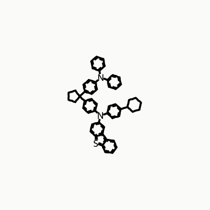 c1ccc(N(c2ccccc2)c2ccc(C3(c4ccc(N(c5ccc(C6CCCCC6)cc5)c5ccc6sc7ccccc7c6c5)cc4)CCCC3)cc2)cc1